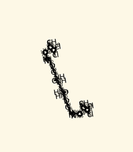 CN1Cc2c(Cl)cc(Cl)cc2[C@H](c2cccc(-c3cn(CCOCCOCCNC(=O)NCCCCNC(=O)NCCOCCOCCn4cc(-c5cccc([C@@H]6CN(C)Cc7c(Cl)cc(Cl)cc76)c5)nn4)nn3)c2)C1